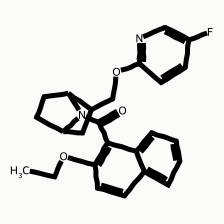 CCOc1ccc2ccccc2c1C(=O)N1C2CCC1C(COc1ccc(F)cn1)C2